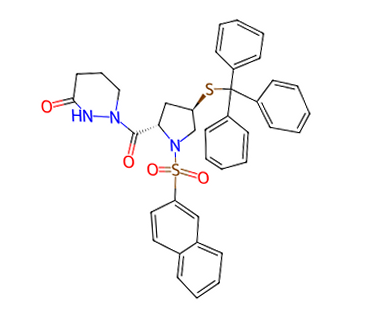 O=C1CCCN(C(=O)[C@@H]2C[C@@H](SC(c3ccccc3)(c3ccccc3)c3ccccc3)CN2S(=O)(=O)c2ccc3ccccc3c2)N1